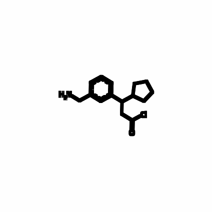 NCc1cccc(C(CC(=O)Cl)C2CCCC2)c1